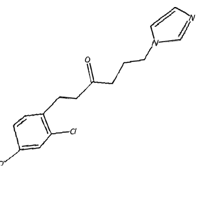 O=C(CCCn1ccnc1)CCc1ccc(Cl)cc1Cl